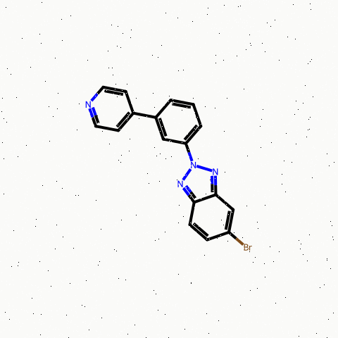 Brc1ccc2nn(-c3cccc(-c4ccncc4)c3)nc2c1